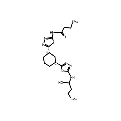 CSCCC(=O)Nc1nnc([C@H]2CCC[C@H](c3nnc(NC(O)CCSC)s3)C2)s1